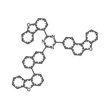 c1cc(-c2cccc3oc4ccccc4c23)c2ccc(-c3nc(-c4ccc5c(ccc6oc7ccccc7c65)c4)nc(-c4cccc5oc6ccccc6c45)n3)cc2c1